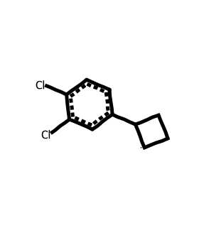 Clc1ccc(C2[CH]CC2)cc1Cl